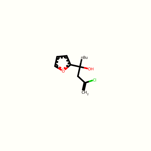 C=C(Cl)CC(O)(CCCC)c1ccco1